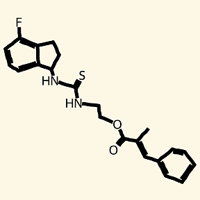 C/C(=C\c1ccccc1)C(=O)OCCNC(=S)NC1CCc2c(F)cccc21